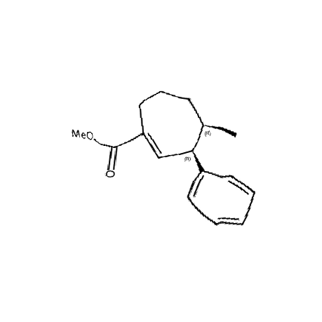 COC(=O)C1=C[C@H](c2ccccc2)[C@H](C)CCC1